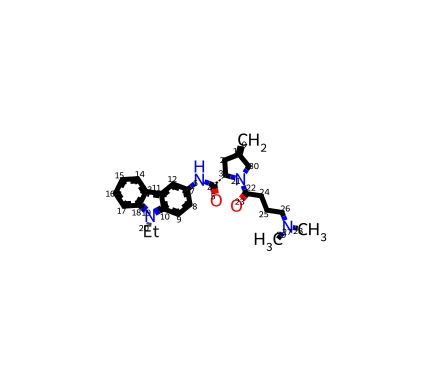 C=C1C[C@@H](C(=O)Nc2ccc3c(c2)c2ccccc2n3CC)N(C(=O)CCCN(C)C)C1